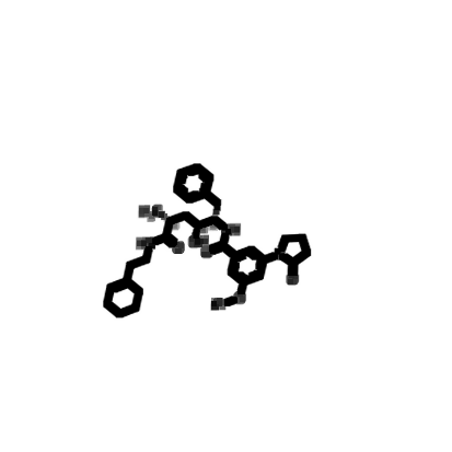 CC(C)Oc1cc(C(=O)N[C@@H](Cc2ccccc2)[C@@H](O)C[C@@H](C)C(=O)NCCC2=CCCCC2)cc(N2CCCC2=O)c1